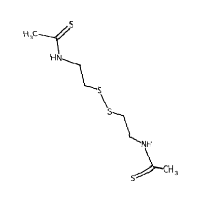 CC(=S)NCCSSCCNC(C)=S